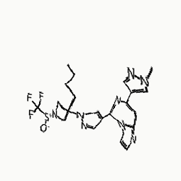 CCCCC1(n2cc(-c3nc(-c4cnn(C)c4)cc4nccn34)cn2)CN([S+]([O-])C(F)(F)F)C1